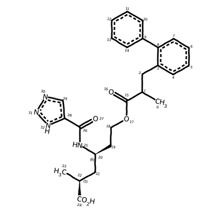 CC(Cc1ccccc1-c1ccccc1)C(=O)OCC[C@@H](C[C@H](C)C(=O)O)NC(=O)c1cnn[nH]1